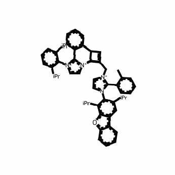 Cc1ccccc1-c1n(-c2c(C(C)C)cc3c(oc4ccccc43)c2C(C)C)cc[n+]1CC1=CC2c3ccccc3-c3n(-c4c(C(C)C)cccc4C(C)C)cc[n+]3C12